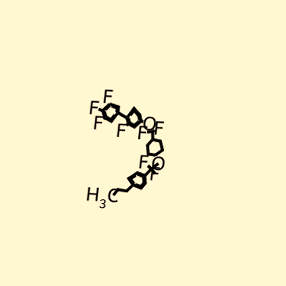 CCCc1ccc(C(F)(F)OC2CCC(C(F)(F)Oc3ccc(-c4cc(F)c(F)c(F)c4)c(F)c3)CC2)cc1